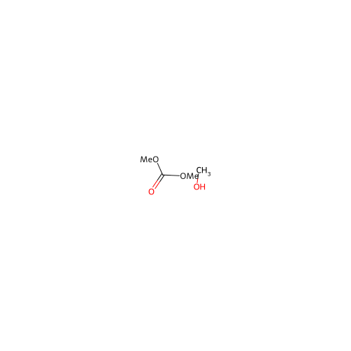 CO.COC(=O)OC